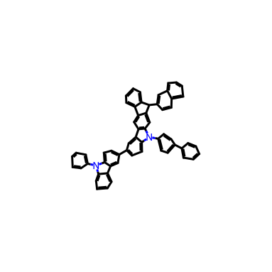 c1ccc(-c2ccc(-n3c4ccc(-c5ccc6c(c5)c5ccccc5n6-c5ccccc5)cc4c4cc5c(cc43)C(c3ccc4ccccc4c3)c3ccccc3-5)cc2)cc1